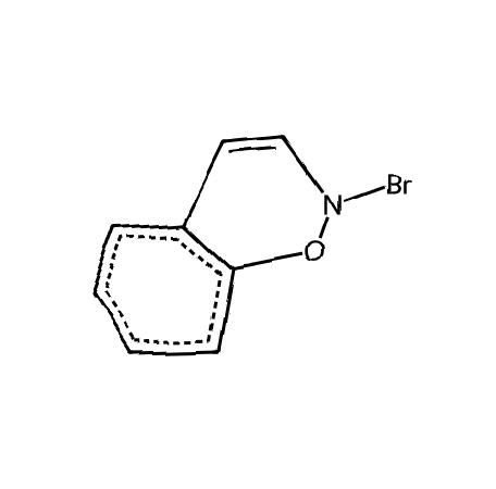 BrN1C=Cc2ccccc2O1